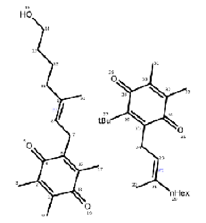 CC1=C(C)C(=O)C(C/C=C(\C)CCCCO)=C(C)C1=O.CCCCCC/C(C)=C/CC1=C(C(C)(C)C)C(=O)C(C)=C(C)C1=O